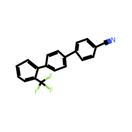 N#Cc1ccc(-c2ccc(-c3ccccc3C(F)(F)F)cc2)cc1